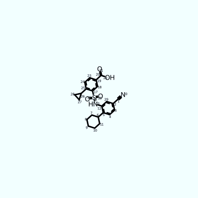 N#Cc1ccc(C2CCCCC2)c(NS(=O)(=O)c2cc(C(=O)O)ccc2C2CC2)c1